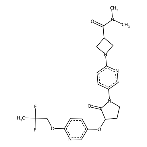 CN(C)C(=O)C1CN(c2ccc(N3CCC(Oc4ccc(OCC(C)(F)F)nc4)C3=O)cn2)C1